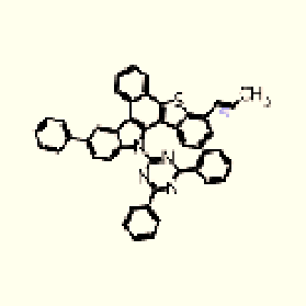 C/C=C/c1cccc2c1sc1c3ccccc3c3c4cc(-c5ccccc5)ccc4n(-c4nc(-c5ccccc5)nc(-c5ccccc5)n4)c3c21